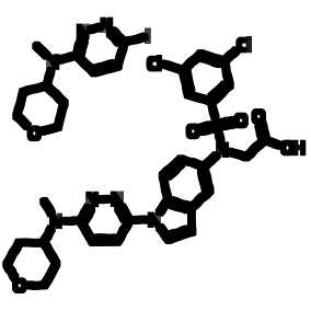 CN(c1ccc(-n2ccc3cc(N(CC(=O)O)S(=O)(=O)c4cc(Cl)cc(Cl)c4)ccc32)nn1)C1CCOCC1.CN(c1ccc(I)nn1)C1CCOCC1